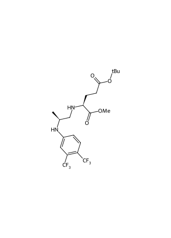 COC(=O)[C@H](CCC(=O)OC(C)(C)C)NC[C@H](C)Nc1ccc(C(F)(F)F)c(C(F)(F)F)c1